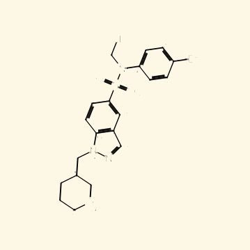 CCc1ccc(N(CC(C)C)S(=O)(=O)c2ccc3c(cnn3CC3CCCOC3)c2)cc1